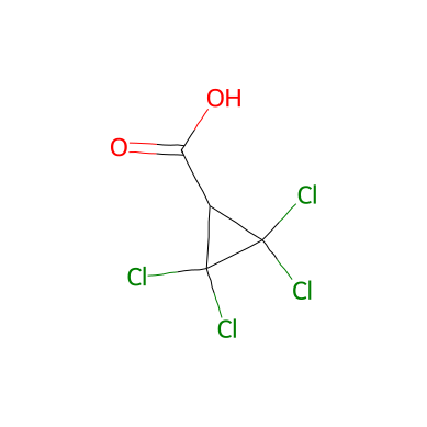 O=C(O)C1C(Cl)(Cl)C1(Cl)Cl